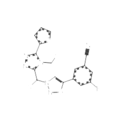 CCn1c(-c2ccco2)nnc1C(S)N1C=C(c2cc(F)cc(C#N)c2)ON1